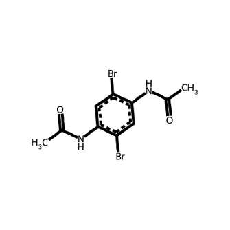 CC(=O)Nc1cc(Br)c(NC(C)=O)cc1Br